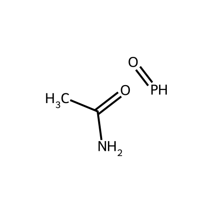 CC(N)=O.O=P